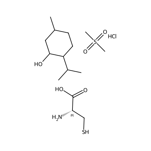 CC1CCC(C(C)C)C(O)C1.CS(C)(=O)=O.Cl.N[C@@H](CS)C(=O)O